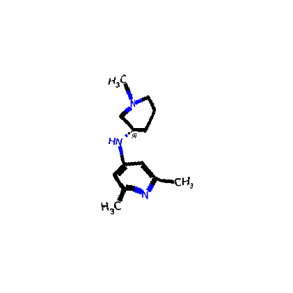 Cc1cc(N[C@H]2CCCN(C)C2)cc(C)n1